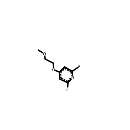 COCCOc1cc(F)nc(F)c1